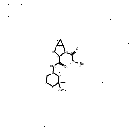 CC1(O)CCCC(NC(=O)C2CC3CC3N2C(=O)OC(C)(C)C)C1